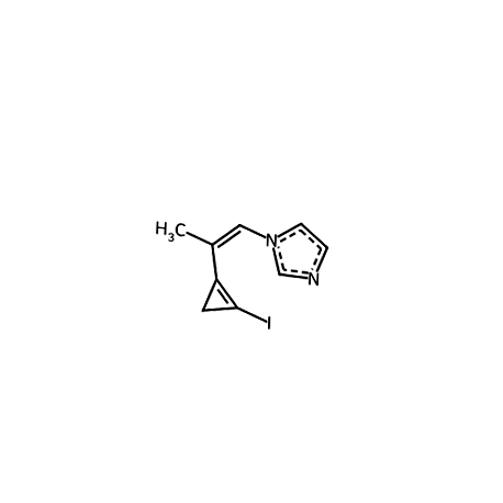 C/C(=C/n1ccnc1)C1=C(I)C1